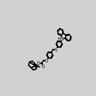 CC1(OC(=O)COc2ccc(CSc3ccc([SH]4c5ccccc5-c5ccccc54)cc3)cc2)C2CC3CC(C2)CC1C3